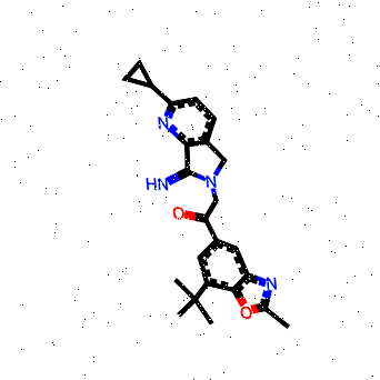 Cc1nc2cc(C(=O)CN3Cc4ccc(C5CC5)nc4C3=N)cc(C(C)(C)C)c2o1